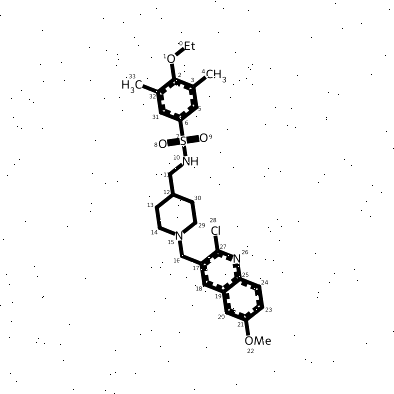 CCOc1c(C)cc(S(=O)(=O)NCC2CCN(Cc3cc4cc(OC)ccc4nc3Cl)CC2)cc1C